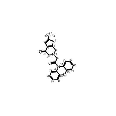 Cc1cc2c(s1)CN(CC(=O)N1c3ccccc3Oc3ccccc31)CC2=O